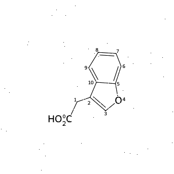 O=C(O)Cc1coc2ccccc12